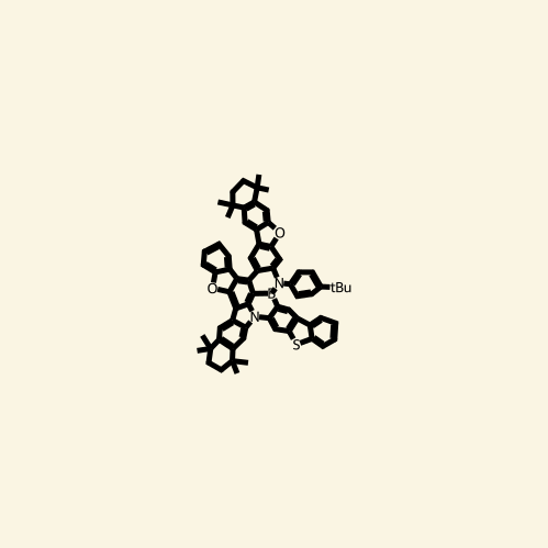 CC(C)(C)c1ccc(N2B3c4cc5c(cc4-n4c6cc7c(cc6c6c8oc9ccccc9c8c(c3c64)-c3cc4c(cc32)oc2cc3c(cc24)C(C)(C)CCC3(C)C)C(C)(C)CCC7(C)C)sc2ccccc25)cc1